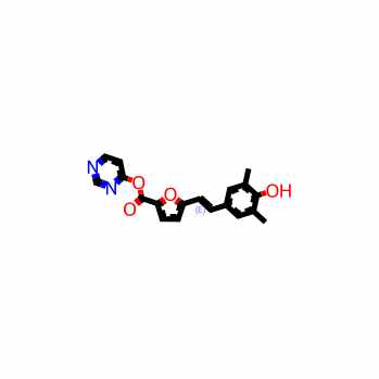 Cc1cc(/C=C/c2ccc(C(=O)Oc3ccncn3)o2)cc(C)c1O